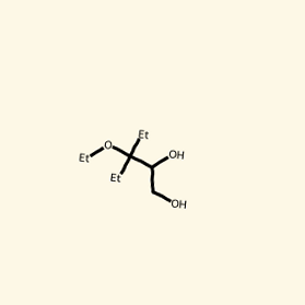 CCOC(CC)(CC)C(O)CO